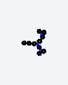 c1ccc(-c2ccc(-c3ccc(N(c4ccc(-c5ccc6c7cccc8c9ccccc9n(c6c5)c87)cc4)c4ccc(-n5c6ccccc6c6ccccc65)cc4)cc3)cc2)cc1